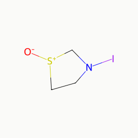 [O-][S+]1CCN(I)C1